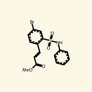 COC(=O)C=Cc1ccc(Br)cc1S(=O)(=O)Nc1ccccc1